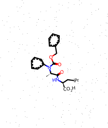 CC(C)C[C@H](NC(=O)[C@H](C)N(C(=O)OCc1ccccc1)c1ccccc1)C(=O)O